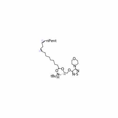 CCCCC/C=C\C/C=C\CCCCCCCC(=O)O[C@@H](CNC(C)(C)C)COc1nsnc1N1CCOCC1